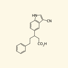 N#Cc1c[nH]c2ccc(C(CCc3ccccc3)CC(=O)O)cc12